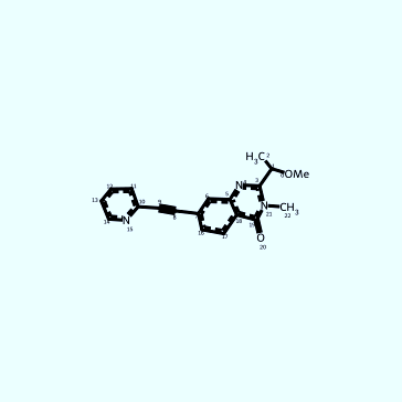 COC(C)c1nc2cc(C#Cc3ccccn3)ccc2c(=O)n1C